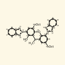 CCCCCCCCc1cc(C(C)c2cc(CCCCCCCC)cc(-n3nc4ccccc4n3)c2O)c(O)c(-n2nc3ccccc3n2)c1